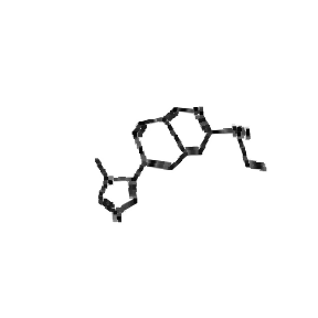 C=CNc1cc2cc(-c3cncn3C)ccc2cn1